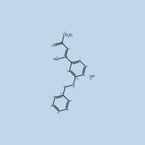 CCOC(=O)C(=O)C=C(O)c1cccc(OCc2ccccc2)c1.[LiH]